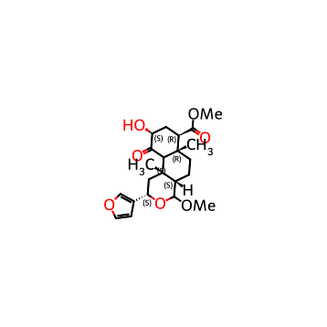 COC(=O)[C@@H]1C[C@H](O)C(=O)C2[C@@]3(C)C[C@@H](c4ccoc4)OC(OC)[C@H]3CC[C@]21C